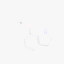 FC(F)(F)Oc1cccc2c1NCC2